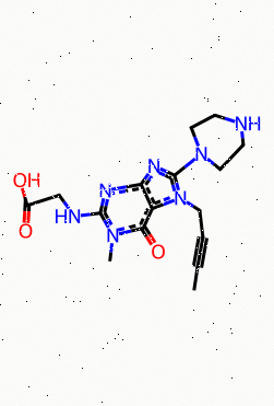 CC#CCn1c(N2CCNCC2)nc2nc(NCC(=O)O)n(C)c(=O)c21